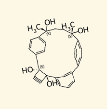 C[C@]1(O)CC[C@@](C)(O)c2ccc(cc2)[C@]2(O)C#CC2(O)c2cccc(c2)-c2ccc1cc2